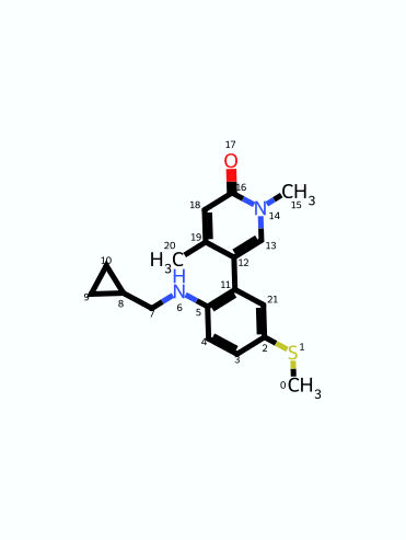 CSc1ccc(NCC2CC2)c(-c2cn(C)c(=O)cc2C)c1